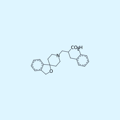 O=C(O)C(Cc1ccccc1F)CN1CCC2(CC1)OCc1ccccc12